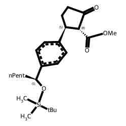 CCCCC[C@H](O[Si](C)(C)C(C)(C)C)c1ccc([C@H]2CCC(=O)[C@@H]2C(=O)OC)cc1